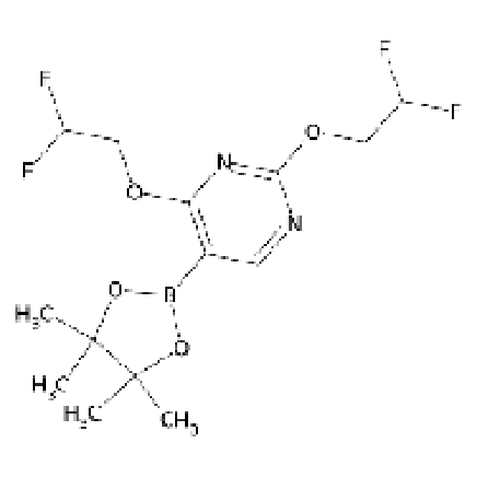 CC1(C)OB(c2cnc(OCC(F)F)nc2OCC(F)F)OC1(C)C